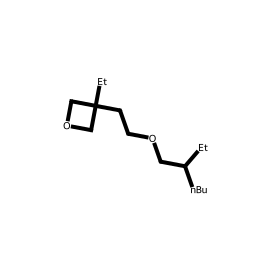 CCCCC(CC)COCCC1(CC)COC1